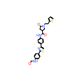 O=CNc1ccc(-c2nc(-c3ccc(NC(=O)C4CC(=O)N(CCc5cccs5)C4)cc3)cs2)cc1